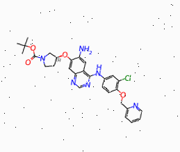 CC(C)(C)OC(=O)N1CC[C@H](Oc2cc3ncnc(Nc4ccc(OCc5ccccn5)c(Cl)c4)c3cc2N)C1